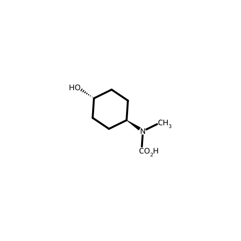 CN(C(=O)O)[C@H]1CC[C@H](O)CC1